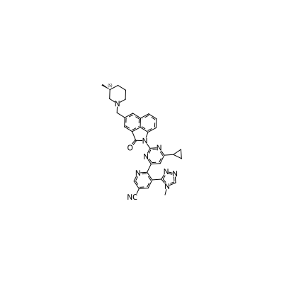 C[C@H]1CCCN(Cc2cc3c4c(cccc4c2)N(c2nc(-c4ncc(C#N)cc4-c4nncn4C)cc(C4CC4)n2)C3=O)C1